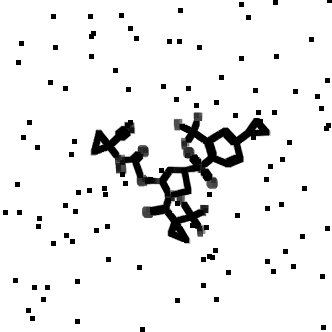 N#CC1(NC(=O)O[C@H]2C[C@@H](S(=O)(=O)c3ccc(C4CC4)cc3C(F)(F)F)CN2C(=O)C2(C(F)(F)F)CC2)CC1